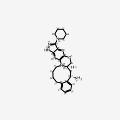 N[C@H]1C[C@@H]2COc3nc4c(N5CCCCC5)n[nH]c4nc3N2CCCCc2ccccc21